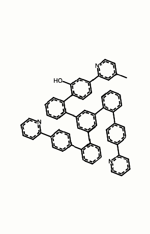 Cc1ccnc(-c2ccc(-c3ccccc3-c3cc(-c4ccccc4-c4ccc(-c5ccccn5)cc4)cc(-c4ccccc4-c4ccc(-c5ccccn5)cc4)c3)c(O)c2)c1